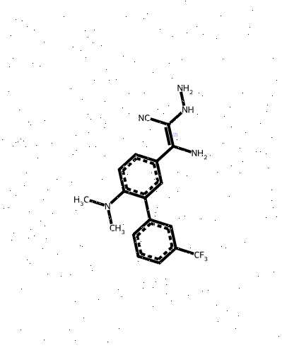 CN(C)c1ccc(/C(N)=C(\C#N)NN)cc1-c1cccc(C(F)(F)F)c1